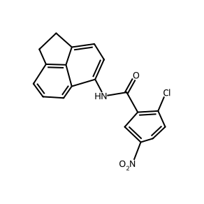 O=C(Nc1ccc2c3c(cccc13)CC2)c1cc([N+](=O)[O-])ccc1Cl